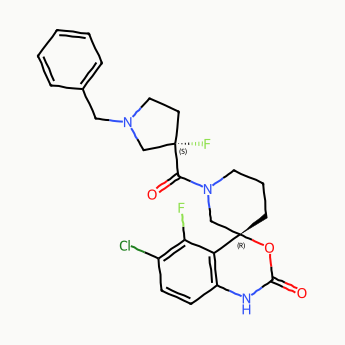 O=C1Nc2ccc(Cl)c(F)c2[C@@]2(CCCN(C(=O)[C@]3(F)CCN(Cc4ccccc4)C3)C2)O1